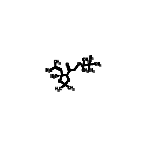 CC(C)=C[C@]1(C)OC(C)(C)O[C@@H]1C(=O)CO[Si](C)(C)C(C)(C)C